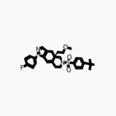 COCC[C@]12Cc3cnn(-c4ccc(F)cc4)c3C=C1CCN(S(=O)(=O)c1ccc(C(C)(C)C)cc1)C2